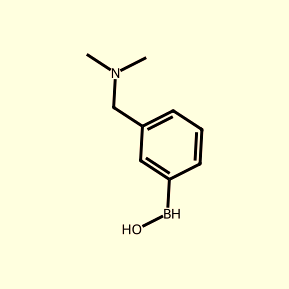 CN(C)Cc1cccc(BO)c1